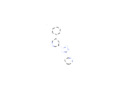 CC(=O)c1cccc(-c2cncc(-n3nnc(-c4ccccn4)n3)c2)c1